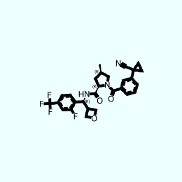 C[C@@H]1C[C@H](C(=O)N[C@@H](c2ccc(C(F)(F)F)cc2F)C2COC2)N(C(=O)c2cccc(C3(C#N)CC3)c2)C1